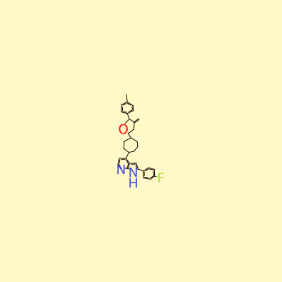 C=C(CC(=O)C1CCCC(c2ccnc3[nH]c(-c4ccc(F)cc4)cc23)CC1)C(C)c1ccc(C)cc1